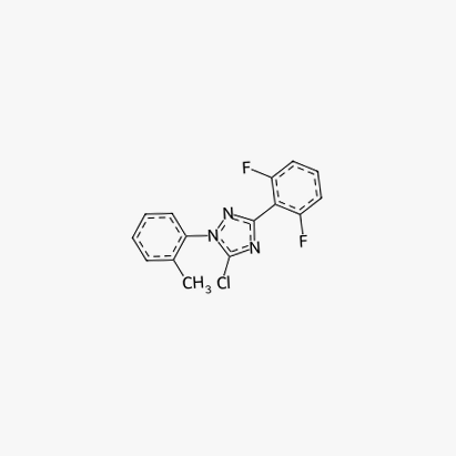 Cc1ccccc1-n1nc(-c2c(F)cccc2F)nc1Cl